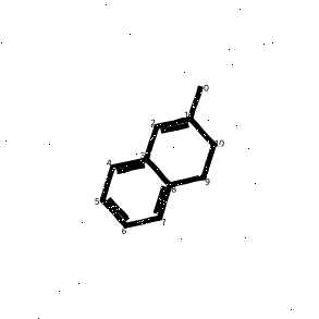 CC1=[C]c2ccccc2CC1